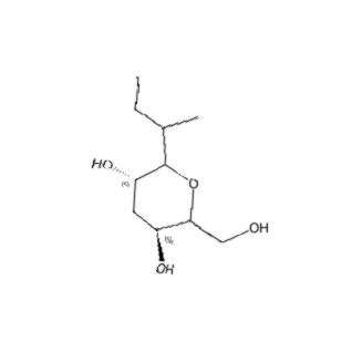 CCC(C)C1OC(CO)[C@@H](O)C[C@@H]1O